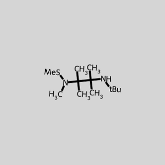 CSN(C)C(C)(C)C(C)(C)NC(C)(C)C